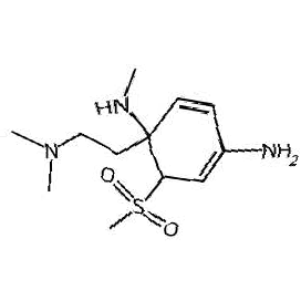 CNC1(CCN(C)C)C=CC(N)=CC1S(C)(=O)=O